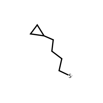 [S]CCCCC1CC1